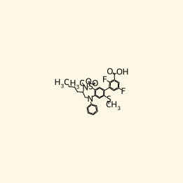 CCCCC1CN(c2ccccc2)c2cc(SC)c(-c3cc(F)cc(C(=O)O)c3F)cc2S(=O)(=O)N1C